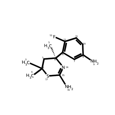 CC1(C)C[C@@](C)(c2cc(N)ccc2F)N=C(N)S1